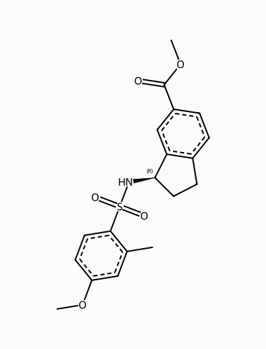 COC(=O)c1ccc2c(c1)[C@H](NS(=O)(=O)c1ccc(OC)cc1C)CC2